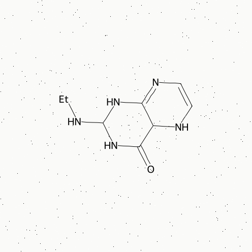 CCNC1NC(=O)C2NC=CN=C2N1